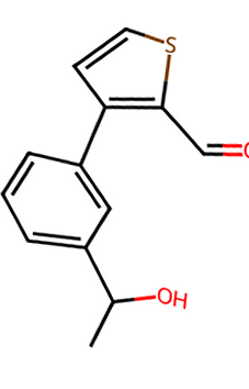 CC(O)c1cccc(-c2ccsc2C=O)c1